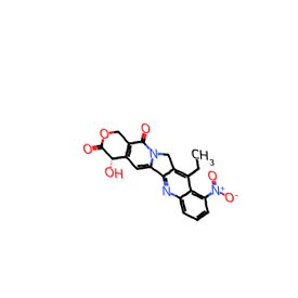 CCc1c2c(nc3cccc([N+](=O)[O-])c13)-c1cc3c(c(=O)n1C2)COC(=O)[C@H]3O